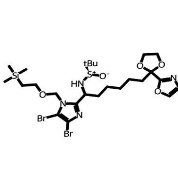 CC(C)(C)[S@@+]([O-])NC(CCCCCC1(c2ncco2)OCCO1)c1nc(Br)c(Br)n1COCC[Si](C)(C)C